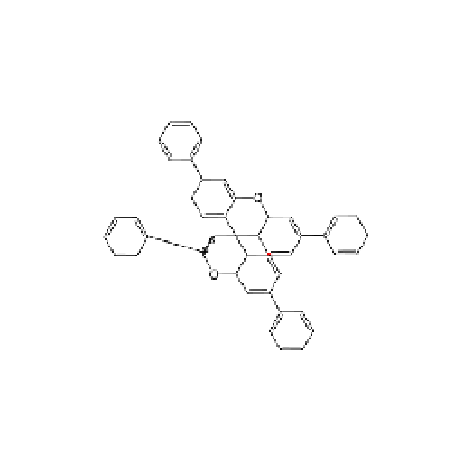 C1=CC(C2=CC3OC4=CC(c5ccccc5)CC=C4C4(C3C=C2)C2C=CC(c3ccccc3)=CC2OC2C=C(c3ccccc3)C=CC24)=CCC1